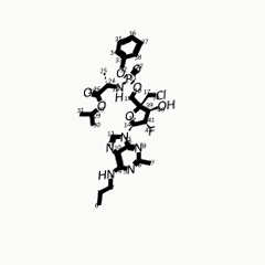 CCCNc1nc(C)nc2c1ncn2[C@@H]1O[C@](CCl)(CO[P@](=O)(N[C@@H](C)C(=O)OC(C)C)Oc2ccccc2)[C@@H](O)[C@@H]1F